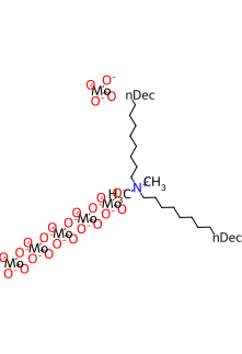 CCCCCCCCCCCCCCCCCC[N+](C)(C)CCCCCCCCCCCCCCCCCC.[O]=[Mo](=[O])([O-])[O-].[O]=[Mo](=[O])([O-])[O-].[O]=[Mo](=[O])([O-])[O-].[O]=[Mo](=[O])([O-])[O-].[O]=[Mo](=[O])([O-])[O-].[O]=[Mo](=[O])([O-])[O-]